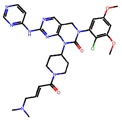 COc1cc(OC)c(Cl)c(N2Cc3cnc(Nc4ccncn4)nc3N(C3CCN(C(=O)/C=C/CN(C)C)CC3)C2=O)c1